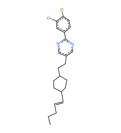 CCCC=CC1CCC(CCc2cnc(-c3ccc(Cl)c(Cl)c3)nc2)CC1